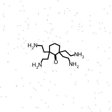 NCCC1(CCN)CCCC(CCN)(CCN)C1=O